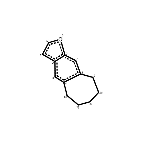 c1cc2cc3c(cc2o1)CCCCC3